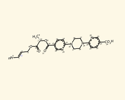 CCC/C=C/COC(=O)[C@H](C)OC(=O)c1ccc(N2CCN(c3ccc(C(=O)O)cn3)CC2)nc1